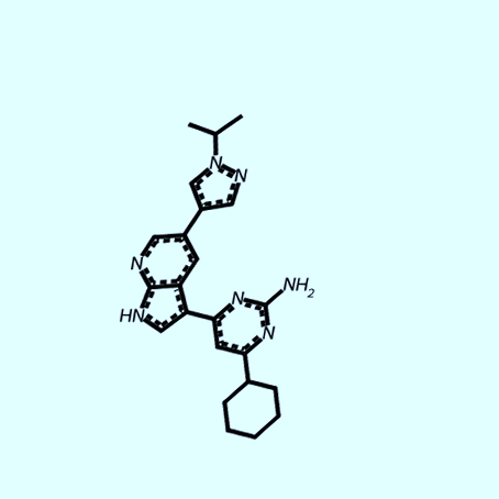 CC(C)n1cc(-c2cnc3[nH]cc(-c4cc(C5CCCCC5)nc(N)n4)c3c2)cn1